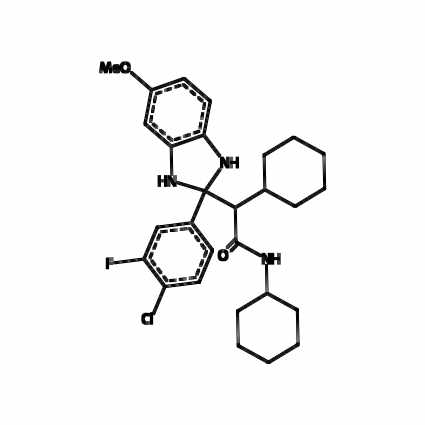 COc1ccc2c(c1)NC(c1ccc(Cl)c(F)c1)(C(C(=O)NC1CCCCC1)C1CCCCC1)N2